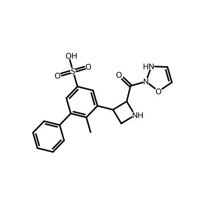 Cc1c(-c2ccccc2)cc(S(=O)(=O)O)cc1C1CNC1C(=O)N1NC=CO1